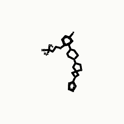 CC(C)(O)CCOc1ccc(F)cc1C1CCN(C2COC3(C2)CN(c2nncs2)C3)CC1